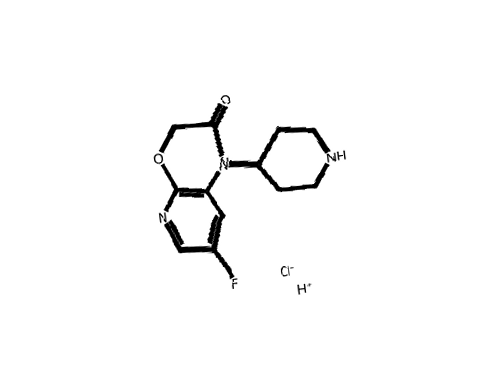 O=C1COc2ncc(F)cc2N1C1CCNCC1.[Cl-].[H+]